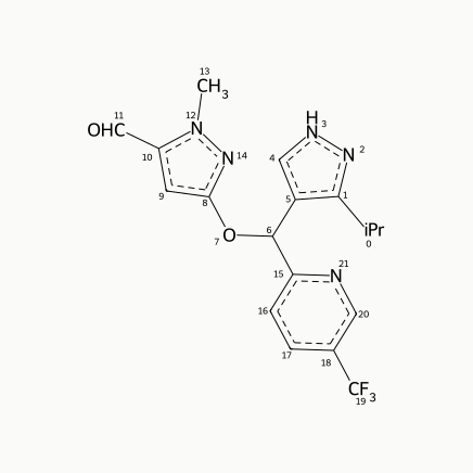 CC(C)c1n[nH]cc1C(Oc1cc(C=O)n(C)n1)c1ccc(C(F)(F)F)cn1